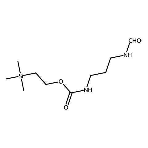 C[Si](C)(C)CCOC(=O)NCCCN[C]=O